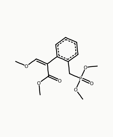 CO/C=C(\C(=O)OC)c1ccccc1CP(=O)(OC)OC